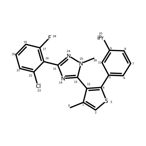 Cc1csc(-c2cccc(C(C)C)c2)c1-c1nc(-c2c(F)cccc2Cl)nn1C